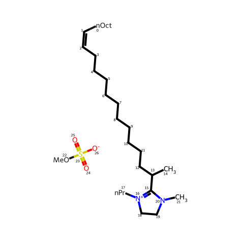 CCCCCCCC/C=C\CCCCCCCCCCC(C)C1=[N+](CCC)CCN1C.COS(=O)(=O)[O-]